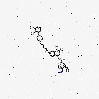 C/C=C\C(=O)N(C=O)CC(=O)NCC1CC(=O)Nc2cc(OCCCCN3CCN(c4cccc(Cl)c4Cl)CC3)ccc21